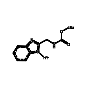 CCCn1c(CNC(=O)OC(C)(C)C)nc2ccccc21